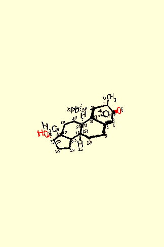 CC1C[C@@]2(C)C(=CC1=O)CC[C@@H]1C3CC[C@H](O)[C@@]3(C)CC[C@H]12.[Pb]